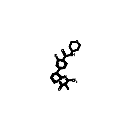 Cc1c(C(F)(F)F)nc2c(-c3ccc(C(=O)NC4CCOCC4)c(F)c3)cccn2c1=O